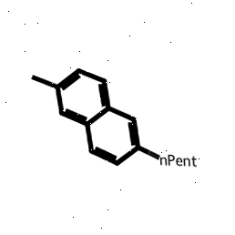 CCCCCc1ccc2cc(C)ccc2c1